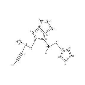 CC#C[C@H](N)Cc1sc2csnc2c1N(C)Cc1ccsc1